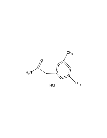 Cc1cc(C)cc(CC(N)=O)c1.Cl